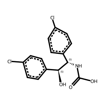 O=C(O)N[C@@H](c1ccc(Cl)cc1)[C@@H](O)c1ccc(Cl)cc1